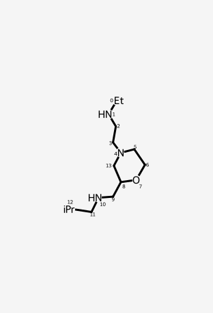 CCNCCN1CCOC(CNCC(C)C)C1